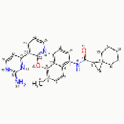 Cc1ccc2c(NC(=O)C3CC34CCCCC4)cccc2c1Oc1ncccc1-c1ccnc(N)n1